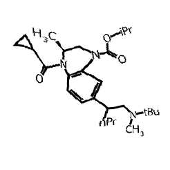 CCCC(CN(C)C(C)(C)C)c1ccc2c(c1)N(C(=O)OC(C)C)C[C@H](C)N2C(=O)C1CC1